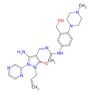 C=CCn1c(=O)c(/C=N\C(=C)Nc2ccc(N3CCN(C)CC3)c(CO)c2)c(N)n1-c1cnccn1